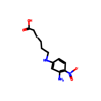 Nc1cc(NCCCCCC(=O)O)ccc1[N+](=O)[O-]